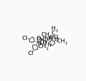 COc1ccnc(C(=O)NC(C)C(=O)ON(C)C(C)(c2ccc(Cl)cc2)c2ccc(Cl)cc2)c1OC(C)=O